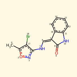 Cc1onc(NC=C2C(=O)Nc3ccccc32)c1Br